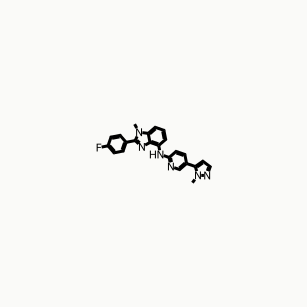 Cn1nccc1-c1ccc(Nc2cccc3c2nc(-c2ccc(F)cc2)n3C)nc1